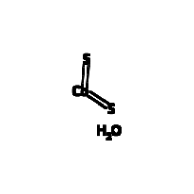 O.[S]=[Co]=[S]